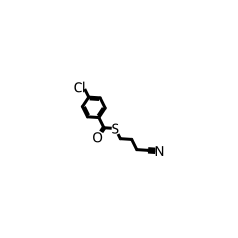 N#CCCCSC(=O)c1ccc(Cl)cc1